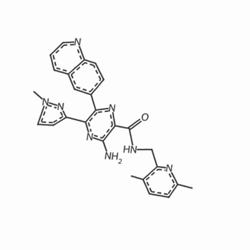 Cc1ccc(C)c(CNC(=O)c2nc(-c3ccc4ncccc4c3)c(-c3ccn(C)n3)nc2N)n1